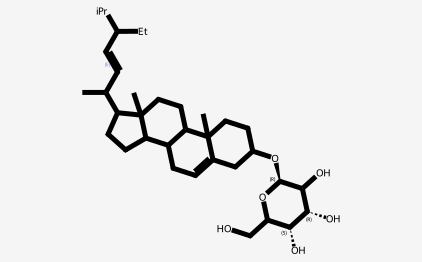 CCC(/C=C/C(C)C1CCC2C3CC=C4CC(O[C@@H]5OC(CO)[C@@H](O)[C@@H](O)C5O)CCC4(C)C3CCC12C)C(C)C